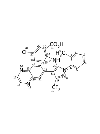 Cc1ccccc1-n1nc(C(F)(F)F)c(-c2ccc3nccnc3c2)c1Nc1ccc(Cl)cc1C(=O)O